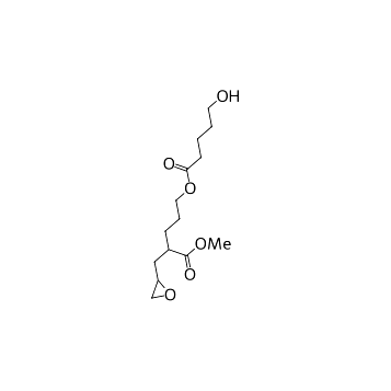 COC(=O)C(CCCOC(=O)CCCCO)CC1CO1